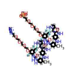 Cc1ccc(NC(=O)Nc2cc(C(F)(F)F)cc(OCCOCCOCCOCCCS(=O)(=O)O)c2F)cc1Nc1ccc2c(c1)NC(=O)/C2=C\c1ccc[nH]1.Cc1ccc(NC(=O)Nc2cc(C(F)(F)F)cc(OCCOCCOCCOCCN=[N+]=[N-])c2F)cc1Nc1ccc2c(c1)NC(=O)/C2=C\c1ccc[nH]1